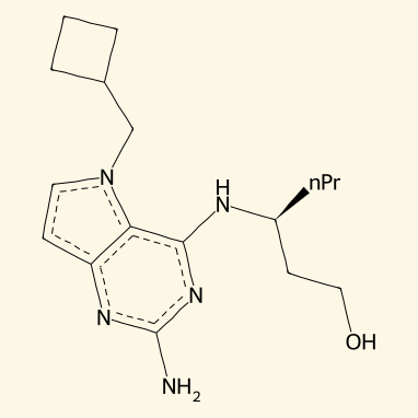 CCC[C@@H](CCO)Nc1nc(N)nc2ccn(CC3CCC3)c12